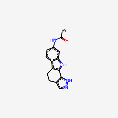 CC(C)C(=O)Nc1ccc2c3c([nH]c2c1)-c1[nH]ncc1CC3